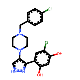 Oc1cc(O)c(-c2n[nH]cc2N2CCN(Cc3ccc(Cl)cc3)CC2)cc1Cl